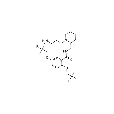 NCCCN1CCCCC1CNC(=O)c1cc(OCC(F)(F)F)ccc1OCC(F)(F)F